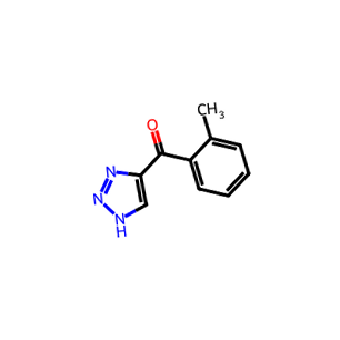 Cc1ccccc1C(=O)c1c[nH]nn1